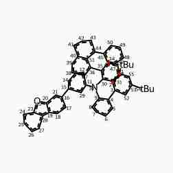 CC(C)(C)c1cc(-c2ccccc2N(c2cccc(-c3ccc4c(c3)oc3ccccc34)c2)c2ccccc2-c2cccc3cccc(-c4ccccc4)c23)cc(C(C)(C)C)c1